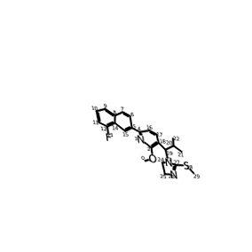 COc1nc(-c2ccc3cccc(F)c3c2)ccc1C(C(C)C)N1CCN=C1SC